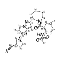 Cc1ccc(NS(C)(=O)=O)c(C(=O)N2CCCC[C@H]2c2cc3nc(N4CC[C@@H](C#N)C4)c(C)cn3n2)c1